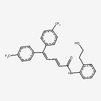 O=C(/C=C/C=C(c1ccc(C(F)(F)F)cc1)c1ccc(C(F)(F)F)cc1)Nc1ccccc1CCO